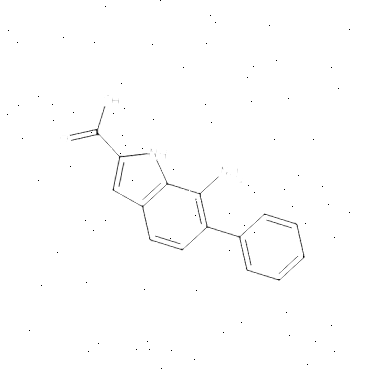 CC(=O)c1cc2ccc(-c3ccccc3)c(N)c2[nH]1